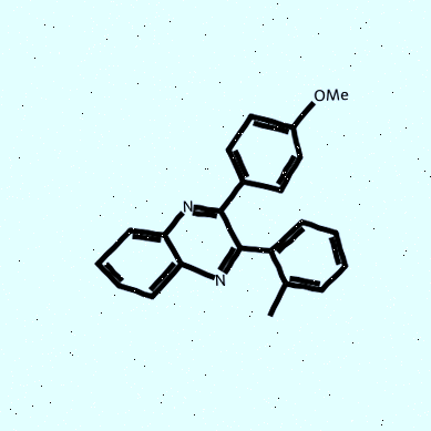 COc1ccc(-c2nc3ccccc3nc2-c2ccccc2C)cc1